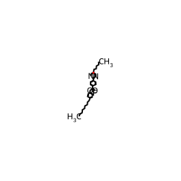 CCCCCCCCCc1ccc(OC(=O)c2ccc(-c3ncc(CCCCCC)cn3)cc2)c(F)c1